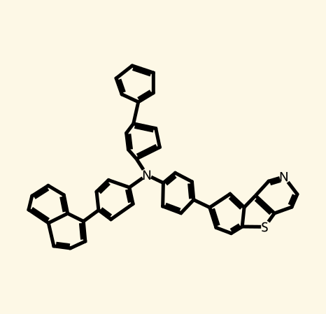 c1ccc(-c2ccc(N(c3ccc(-c4ccc5sc6ccncc6c5c4)cc3)c3ccc(-c4cccc5ccccc45)cc3)cc2)cc1